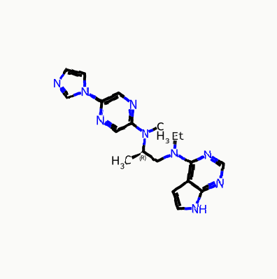 CCN(C[C@@H](C)N(C)c1cnc(-n2ccnc2)cn1)c1ncnc2[nH]ccc12